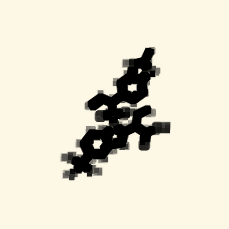 C=CC(c1ccc2nc(C)sc2c1)S(=O)(=O)n1c(C(CC)C(=O)O)cc2cc(C(F)(F)F)ccc21